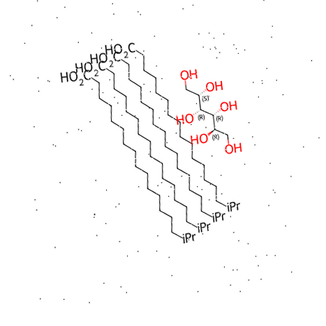 CC(C)CCCCCCCCCCCCCCC(=O)O.CC(C)CCCCCCCCCCCCCCC(=O)O.CC(C)CCCCCCCCCCCCCCC(=O)O.CC(C)CCCCCCCCCCCCCCC(=O)O.OC[C@@H](O)[C@@H](O)[C@H](O)[C@@H](O)CO